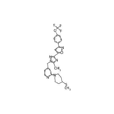 CSC1CCN(c2cc(Cn3nc(-c4cc(-c5ccc(OC(F)(F)F)cc5)no4)nc3C)ccn2)CC1